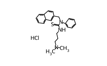 CN(C)CCCNC(=S)N(Cc1ccc2ccccc2c1)c1ccccc1.Cl